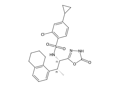 C[C@H](c1cccc2c1CCCC2)[C@H](NS(=O)(=O)c1ccc(C2CC2)cc1Cl)c1n[nH]c(=O)o1